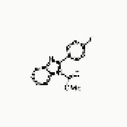 COC(=O)n1c(-c2ccc(Cl)cc2)nc2ccccc21